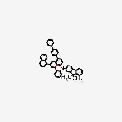 CC1(C)c2ccccc2-c2ccc(N(c3ccc(-c4ccc(-c5ccccc5)cc4)cc3)c3ccccc3-c3cccc(-c4cccc5ccccc45)c3)cc21